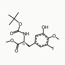 COC(=O)[C@H](Cc1cc(O)c(OC)c(I)c1)NC(=O)OC(C)(C)C